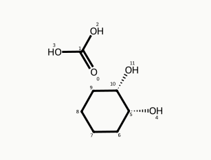 O=C(O)O.O[C@@H]1CCCC[C@@H]1O